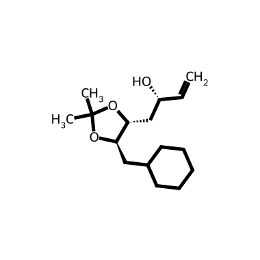 C=C[C@@H](O)C[C@H]1OC(C)(C)O[C@@H]1CC1CCCCC1